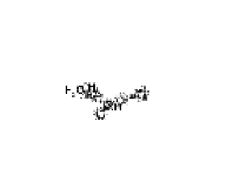 CC(C)(C)c1ccc(C=CC2C=C(c3ccc(C#Cc4ccccc4)cc3)NN2c2ccccc2)cc1